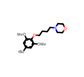 COc1cc(C(C)(C)C)cc(OC)c1OCCCCN1CCOCC1